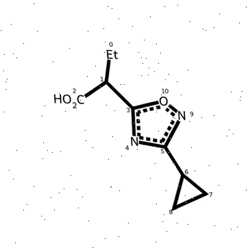 CCC(C(=O)O)c1nc(C2CC2)no1